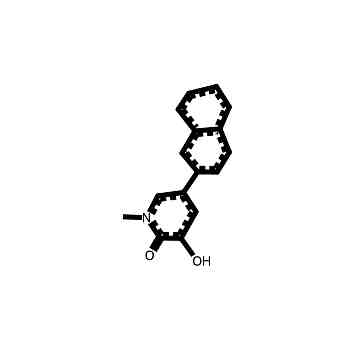 Cn1cc(-c2ccc3ccccc3c2)cc(O)c1=O